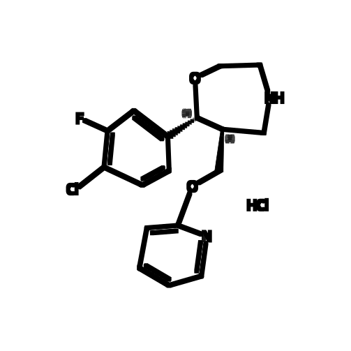 Cl.Fc1cc([C@@H]2OCCNC[C@H]2COc2ccccn2)ccc1Cl